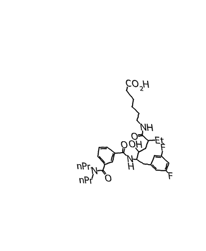 CCCN(CCC)C(=O)c1cccc(C(=O)NC(Cc2cc(F)cc(F)c2)C(O)CC(CC)C(=O)NCCCCCC(=O)O)c1